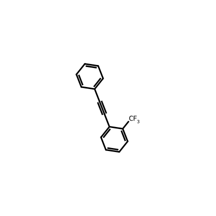 FC(F)(F)c1ccccc1C#Cc1ccccc1